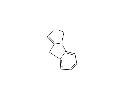 C1=C2Cc3ccccc3N2CS1